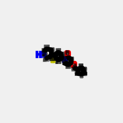 O=c1cc(OCc2ccccc2)ccn1-c1ccc2c3c(sc2c1)CNCCC3